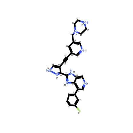 Fc1cccc(-c2cncc3[nH]c(-c4n[nH]cc4C#Cc4cncc(CN5CCNCC5)c4)nc23)c1